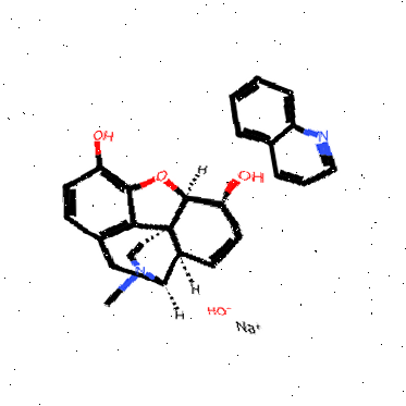 CN1CC[C@]23c4c5ccc(O)c4O[C@H]2[C@@H](O)C=C[C@H]3[C@H]1C5.[Na+].[OH-].c1ccc2ncccc2c1